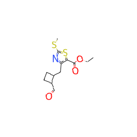 CCOC(=O)c1sc(SC)nc1CC1CCC1C=O